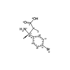 CC(C(=O)O)[C@@](C)(N)c1ccc(Br)cc1